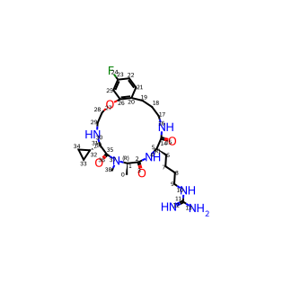 C[C@@H]1C(=O)N[C@H](CCCCNC(=N)N)C(=O)NCCCc2ccc(F)cc2OCCN[C@@H](C2CC2)C(=O)N1C